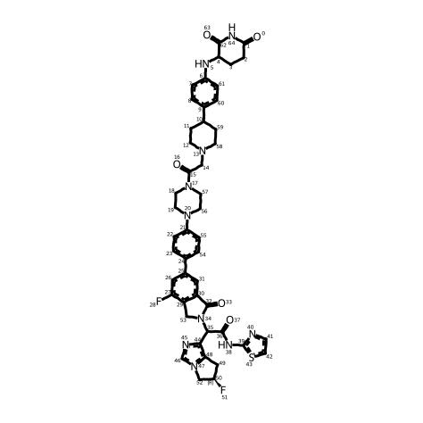 O=C1CCC(Nc2ccc(C3CCN(CC(=O)N4CCN(c5ccc(-c6cc(F)c7c(c6)C(=O)N(C(C(=O)Nc6nccs6)c6ncn8c6C[C@@H](F)C8)C7)cc5)CC4)CC3)cc2)C(=O)N1